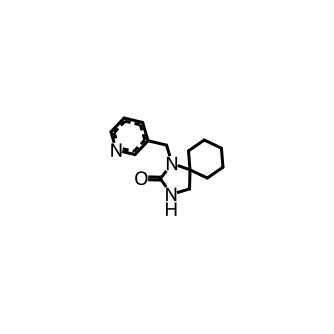 O=C1NCC2(CCCCC2)N1Cc1cccnc1